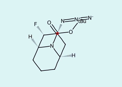 CC(C)(C)OC(=O)N1[C@@H]2CCC[C@H]1[C@H](F)[C@H](N=[N+]=[N-])C2